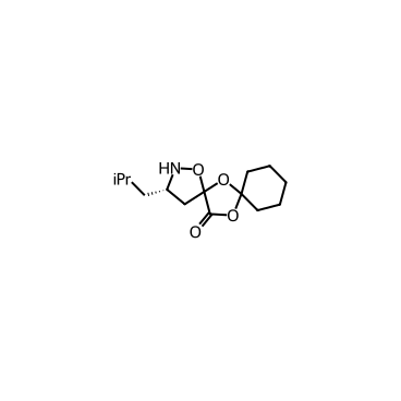 CC(C)C[C@H]1CC2(ON1)OC1(CCCCC1)OC2=O